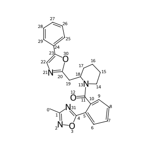 Cc1noc(-c2ccccc2C(=O)N2CCCCC2Cc2ncc(-c3ccccc3)o2)n1